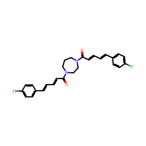 O=C(/C=C/C=C/c1ccc(Cl)cc1)N1CCCN(C(=O)/C=C/C=C/c2ccc(Cl)cc2)CC1